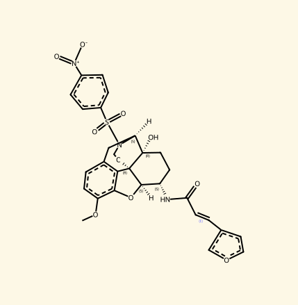 COc1ccc2c3c1O[C@@H]1[C@@H](NC(=O)/C=C/c4ccoc4)CC[C@]4(O)[C@H](C2)N(S(=O)(=O)c2ccc([N+](=O)[O-])cc2)CC[C@@]314